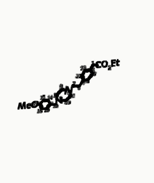 CCOC(=O)Cc1ccc(CCN2CCN(Cc3ccc(OC)cc3)CC2)cc1